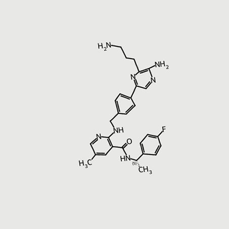 Cc1cnc(NCc2ccc(-c3cnc(N)c(CCCN)n3)cc2)c(C(=O)N[C@@H](C)c2ccc(F)cc2)c1